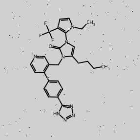 CCCCc1cn(-c2c(C(F)(F)F)ccn2CC)c(=O)n1Cc1cnccc1-c1ccc(-c2nnn[nH]2)cc1